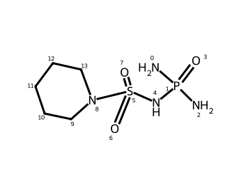 NP(N)(=O)NS(=O)(=O)N1CCCCC1